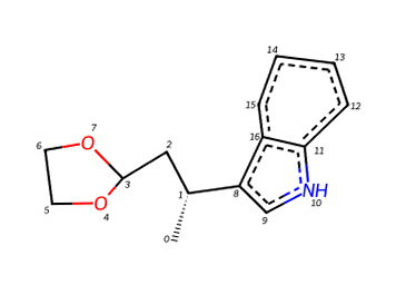 C[C@H](CC1OCCO1)c1c[nH]c2ccccc12